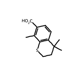 Cc1c(C(=O)O)ccc2c1SCCC2(C)C